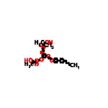 C=C(CO)C(=O)OCCOc1cc(OCCOC(=O)C(C)(C)CO)cc(OCCOc2ccc(C3CCC(CCCCC)CC3)cc2)c1